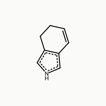 C1=Cc2c[nH]cc2CC1